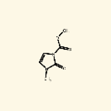 COC(=O)n1ccn(C)c1=O